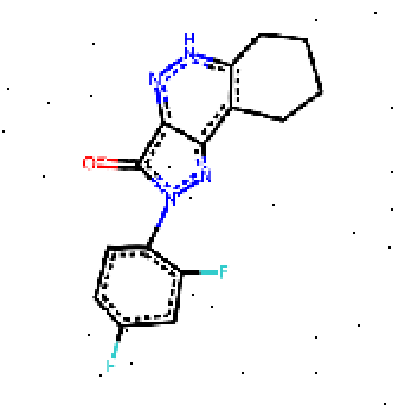 O=c1c2n[nH]c3c(c-2nn1-c1ccc(F)cc1F)CCCC3